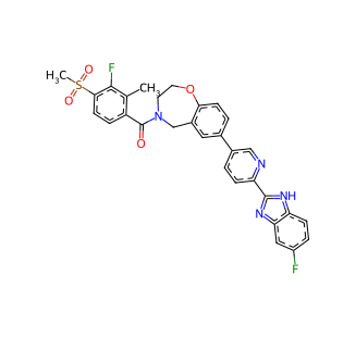 Cc1c(C(=O)N2CCOc3ccc(-c4ccc(-c5nc6cc(F)ccc6[nH]5)nc4)cc3C2)ccc(S(C)(=O)=O)c1F